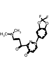 CN(C)C=CC(=O)c1nn(-c2ccc3c(c2)OC(F)(F)O3)ccc1=O